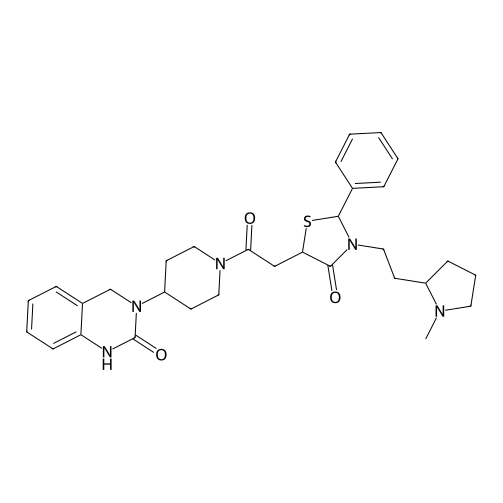 CN1CCCC1CCN1C(=O)C(CC(=O)N2CCC(N3Cc4ccccc4NC3=O)CC2)SC1c1ccccc1